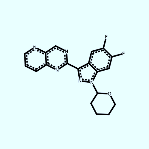 Fc1cc2c(-c3ncc4ncccc4n3)nn(C3CCCCO3)c2cc1F